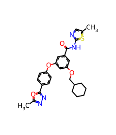 Cc1nnc(-c2ccc(Oc3cc(OCC4CCCCC4)cc(C(=O)Nc4ncc(C)s4)c3)cc2)o1